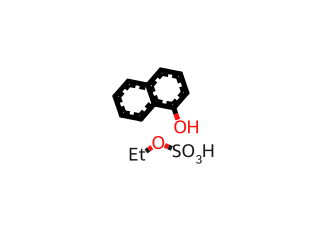 CCOS(=O)(=O)O.Oc1cccc2ccccc12